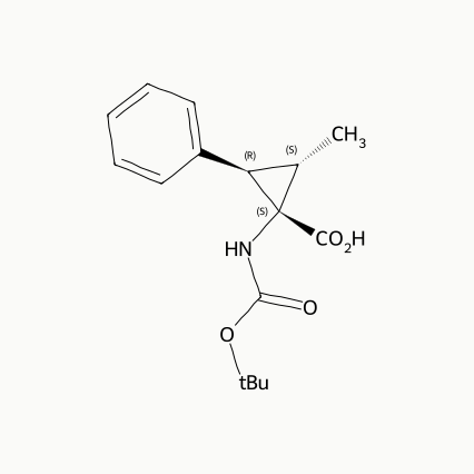 C[C@H]1[C@H](c2ccccc2)[C@]1(NC(=O)OC(C)(C)C)C(=O)O